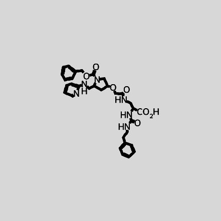 O=C(COC1CC(CNc2ccccn2)N(C(=O)OCc2ccccc2)C1)NCC(NC(=O)NCCc1ccccc1)C(=O)O